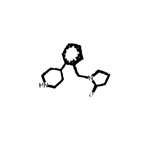 O=C1CCCN1Cc1ccccc1C1CCNCC1